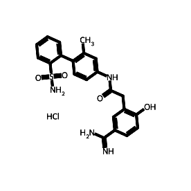 Cc1cc(NC(=O)Cc2cc(C(=N)N)ccc2O)ccc1-c1ccccc1S(N)(=O)=O.Cl